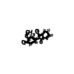 COc1cc(N2C(=O)C3C=CCCC3C2=O)ccc1Cl